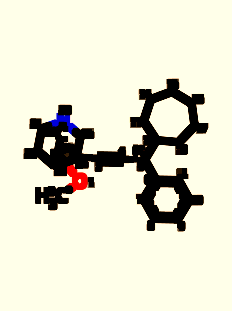 CO[C@]1(C#C[C@@H](c2ccccc2)C2CCCCCC2)CN2CCC1CC2